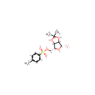 B[C@@H]1O[C@H](COS(=O)(=O)c2ccc(C)cc2)C2OC(C)(C)OC21